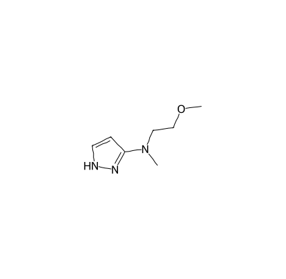 COCCN(C)c1cc[nH]n1